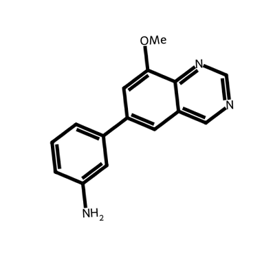 COc1cc(-c2cccc(N)c2)cc2cncnc12